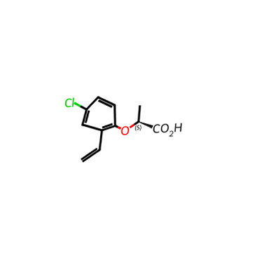 C=Cc1cc(Cl)ccc1O[C@@H](C)C(=O)O